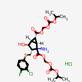 CC(C)OC(=O)OCOC(=O)[C@H]1[C@@H]2[C@H](O)[C@@H](CSc3ccc(F)c(Cl)c3)[C@@](N)(C(=O)OCOC(=O)OC(C)C)[C@H]12.Cl